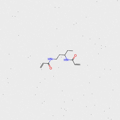 C=CC(=O)NCCC(CC)NC(=O)C=C